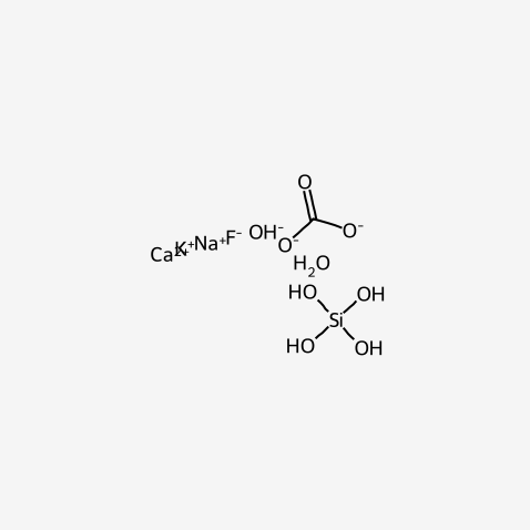 O.O=C([O-])[O-].O[Si](O)(O)O.[Ca+2].[F-].[K+].[Na+].[OH-]